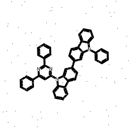 c1ccc(-c2cc(-n3c4ccccc4c4ccc(-c5ccc6c7ccccc7n(-c7ccccc7)c6c5)cc43)nc(-c3ccccc3)n2)cc1